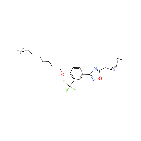 C/C=C\Cc1nc(-c2ccc(OCCCCCCCC)c(C(F)(F)F)c2)no1